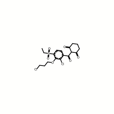 CCS(=O)(=O)c1ccc(C(=O)C2C(=O)CCCC2=O)c(Cl)c1OCCCCl